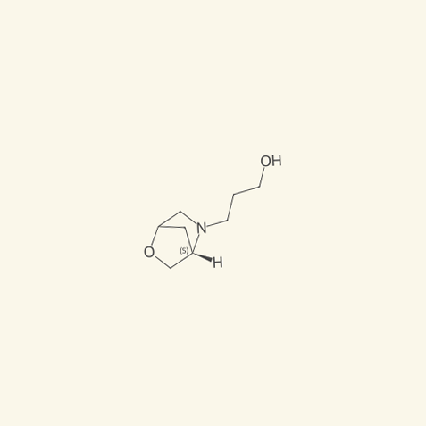 OCCCN1CC2C[C@H]1CO2